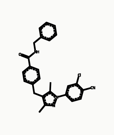 Cc1nn(-c2ccc(C#N)c(Cl)c2)c(C)c1Cc1ccc(C(=O)NCc2ccccc2)cc1